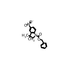 CC1(C)CN(C(=O)OCc2ccccc2)c2ccc([N+](=O)[O-])cc21